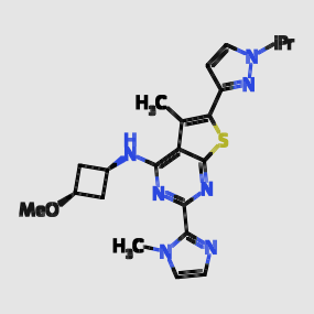 CO[C@H]1C[C@@H](Nc2nc(-c3nccn3C)nc3sc(-c4ccn(C(C)C)n4)c(C)c23)C1